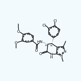 COc1ccc(C(=O)N[C@H]2C(=O)Nc3c(c(C)nn3C)[C@H]2c2ccc(Cl)c(Cl)c2)cc1OC